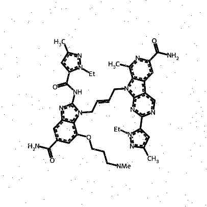 CCn1nc(C)cc1C(=O)Nc1nc2cc(C(N)=O)cc(OCCCNC)c2n1C/C=C/Cn1c2nc(-c3cc(C)nn3CC)ncc2c2cc(C(N)=O)nc(C)c21